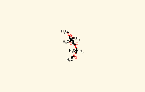 C=CC(=O)OCC(C)(C)COC(=O)CCC(CC(=O)OCC)(C(C)=O)C(C)=O